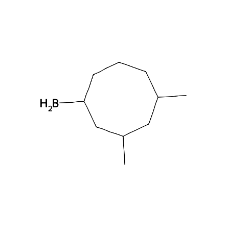 BC1CCCC(C)CC(C)C1